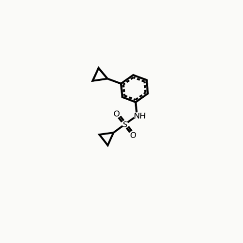 O=S(=O)(Nc1cccc(C2CC2)c1)C1CC1